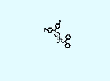 O=C(COC(c1ccccc1)c1ccccc1)N1CCN(C(c2ccc(F)cc2)c2ccc(F)cc2)CC1